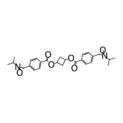 CC(C)N1OC1c1ccc(C(=O)OC2CC(OC(=O)c3ccc(C4ON4C(C)C)cc3)C2)cc1